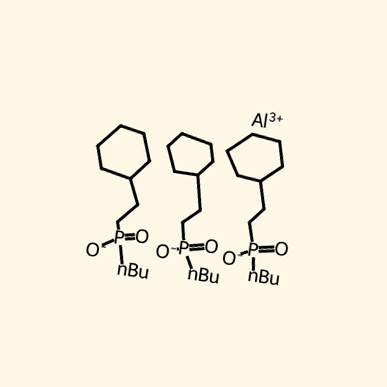 CCCCP(=O)([O-])CCC1CCCCC1.CCCCP(=O)([O-])CCC1CCCCC1.CCCCP(=O)([O-])CCC1CCCCC1.[Al+3]